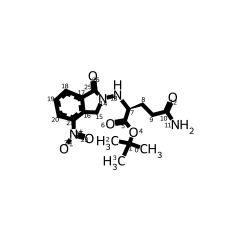 CC(C)(C)OC(=O)[C@H](CCC(N)=O)NN1Cc2c(cccc2[N+](=O)[O-])C1=O